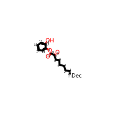 CCCCCCCCCCCCCCCCC(=O)C(=O)Oc1ccccc1O